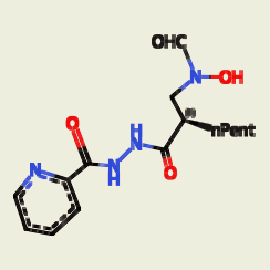 CCCCC[C@H](CN(O)C=O)C(=O)NNC(=O)c1ccccn1